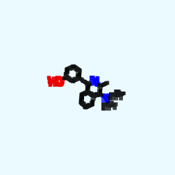 CCCN(CCC)c1c(C)nc(-c2cccc(O)c2)c2ccccc12